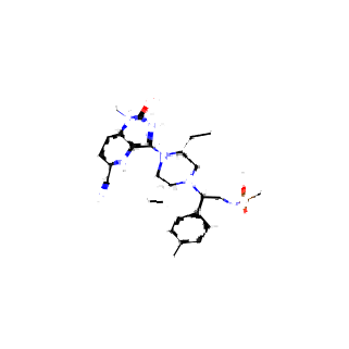 CC[C@H]1CN(C(CNS(C)(=O)=O)c2ccc(C)cc2)[C@H](CC)CN1c1nc(=O)n(C)c2ccc(C#N)nc12